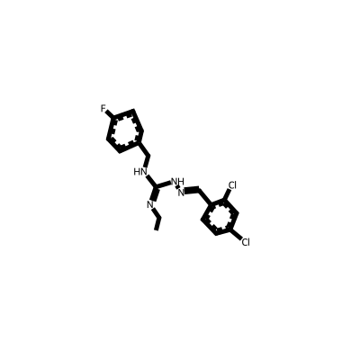 CCN=C(NCc1ccc(F)cc1)NN=Cc1ccc(Cl)cc1Cl